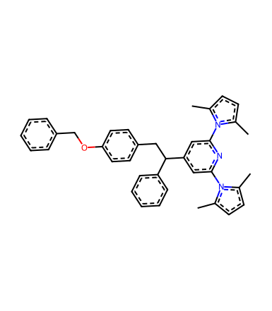 Cc1ccc(C)n1-c1cc(C(Cc2ccc(OCc3ccccc3)cc2)c2ccccc2)cc(-n2c(C)ccc2C)n1